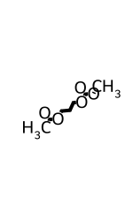 COC(=O)OCCCOC(C)=O